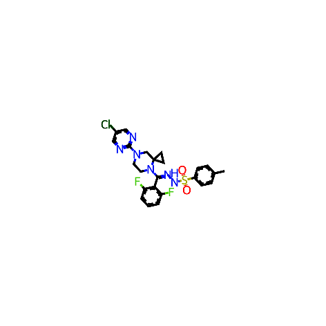 Cc1ccc(S(=O)(=O)N/N=C(\c2c(F)cccc2F)N2CCN(c3ncc(Cl)cn3)CC23CC3)cc1